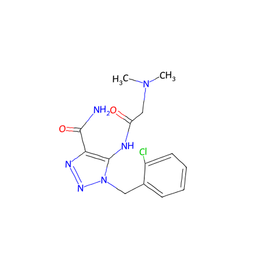 CN(C)CC(=O)Nc1c(C(N)=O)nnn1Cc1ccccc1Cl